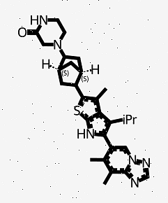 Cc1c(-c2[nH]c3sc(C4C[C@@H]5C[C@H]4CC5N4CCNC(=O)C4)c(C)c3c2C(C)C)cn2ncnc2c1C